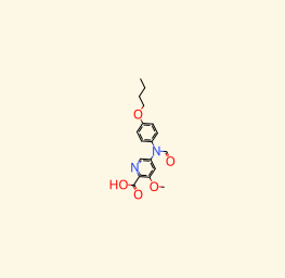 CCCCOc1ccc(N(C=O)c2cnc(C(=O)O)c(OC)c2)cc1